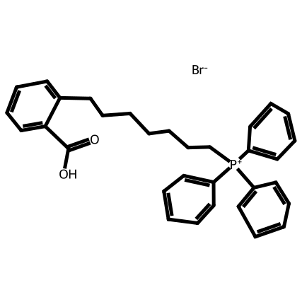 O=C(O)c1ccccc1CCCCCCC[P+](c1ccccc1)(c1ccccc1)c1ccccc1.[Br-]